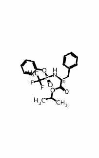 CC(C)OC(=O)[C@H](Cc1ccccc1)NP(=O)(Oc1ccccc1)C(C)(F)F